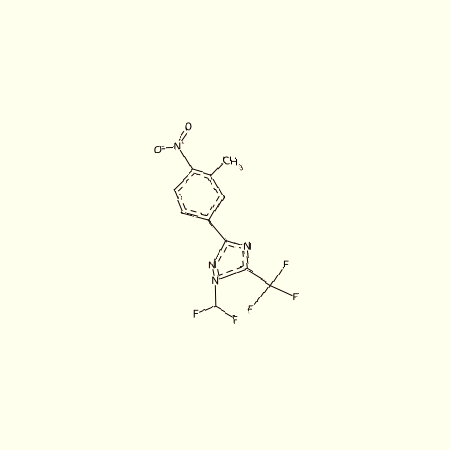 Cc1cc(-c2nc(C(F)(F)F)n(C(F)F)n2)ccc1[N+](=O)[O-]